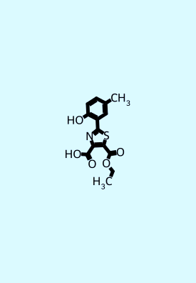 CCOC(=O)c1sc(-c2cc(C)ccc2O)nc1C(=O)O